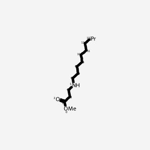 COC(=O)CCNCCCCCCCC(C)C